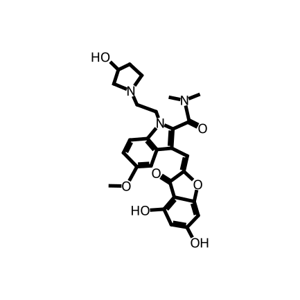 COc1ccc2c(c1)c(C=C1Oc3cc(O)cc(O)c3C1=O)c(C(=O)N(C)C)n2CCN1CCC(O)C1